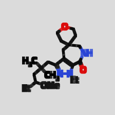 CCC(CC(C)(C)Cc1nn(CC)c2c1CC1(CCOCC1)CNC2=O)OC